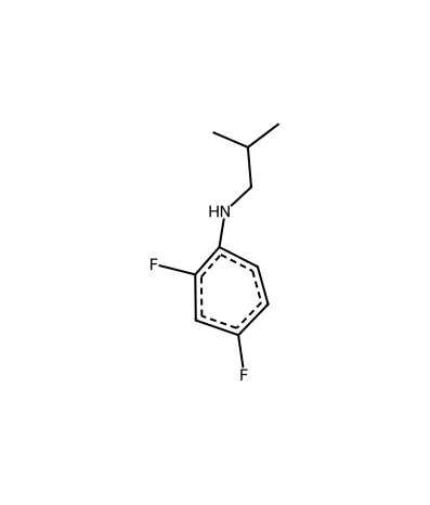 CC(C)CNc1ccc(F)cc1F